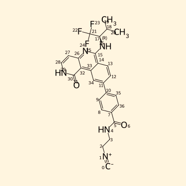 [C-]#[N+]CCNC(=O)c1ccc(-c2ccc3c(N[C@H](C(C)C)C(F)(F)F)nc4cc[nH]c(=O)c4c3c2)cc1